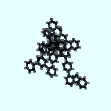 c1ccc(-c2nc(-c3ccc(-c4cccc5c4oc4ccccc45)cc3)nc(-c3ccccc3-c3ccc4c(c3)Oc3ccccc3C43c4ccccc4-c4c(-c5cccc(-c6nc(-c7ccccn7)nc(-c7ccccc7-c7ccc8c(c7)Oc7ccccc7C87c8ccccc8-c8ccccc87)n6)c5)cccc43)n2)cc1